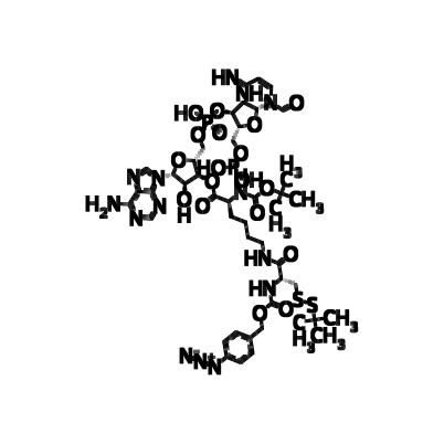 CC(C)(C)OC(=O)N[C@@H](CCCCNC(=O)[C@H](CSSC(C)(C)C)NC(=O)OCc1ccc(N=[N+]=[N-])cc1)C(=O)O[C@H]1[C@@H](O)[C@H](n2cnc3c(N)ncnc32)O[C@@H]1COP(=O)(O)O[C@H]1C[C@H](N(C=O)/C=C\C(=N)N)O[C@@H]1COP(O)O